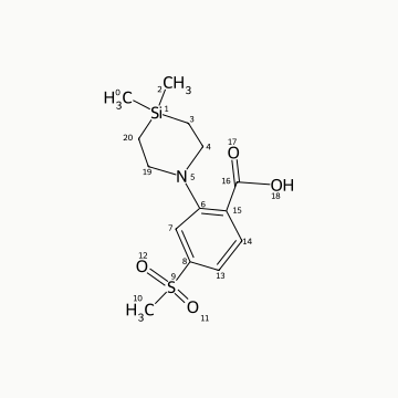 C[Si]1(C)CCN(c2cc(S(C)(=O)=O)ccc2C(=O)O)CC1